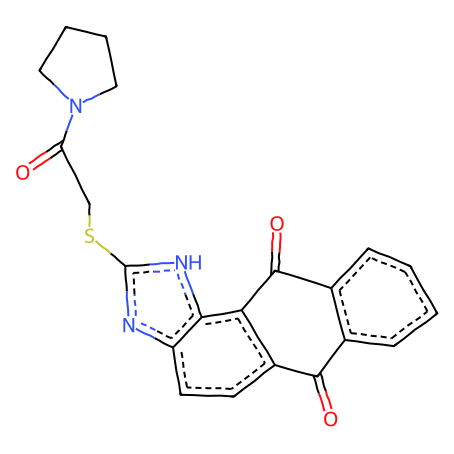 O=C1c2ccccc2C(=O)c2c1ccc1nc(SCC(=O)N3CCCC3)[nH]c21